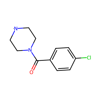 O=C(c1ccc(Cl)cc1)N1CC[N]CC1